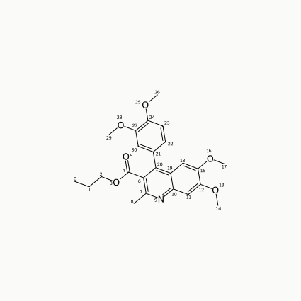 CCCOC(=O)c1c(C)nc2cc(OC)c(OC)cc2c1-c1ccc(OC)c(OC)c1